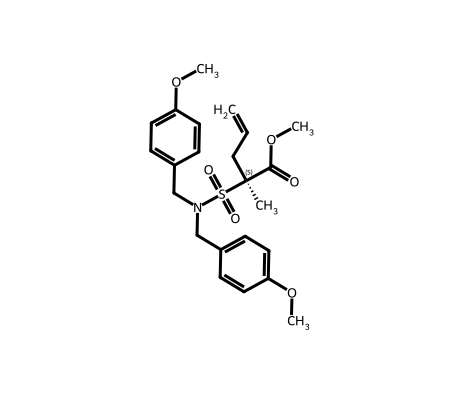 C=CC[C@@](C)(C(=O)OC)S(=O)(=O)N(Cc1ccc(OC)cc1)Cc1ccc(OC)cc1